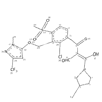 CC1CCC(/C(O)=C(\C=O)C(=O)c2ccc(S(C)(=O)=O)c(COc3cc(C(F)(F)F)nn3C)c2Cl)C1